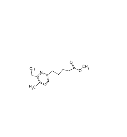 COC(=O)CCCCc1ccc(C)c(CO)n1